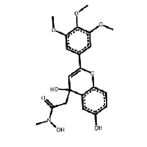 COc1cc(C2=CC(O)(CC(=O)N(C)O)c3cc(O)ccc3O2)cc(OC)c1OC